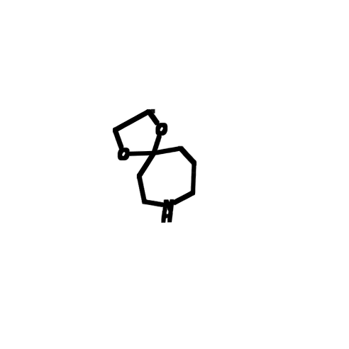 [CH]1COC2(CCCNCC2)O1